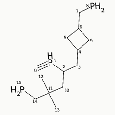 C#[PH]C(CC1CC(CP)C1)CC(C)(C)CP